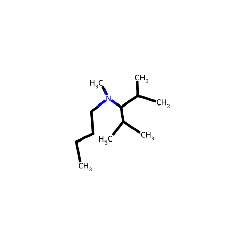 CCCCN(C)C(C(C)C)C(C)C